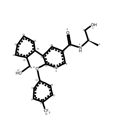 C[C@H](CO)NC(=O)c1cnc(Oc2ccc(C(F)(F)F)cc2)c(-c2ccccc2CO)c1